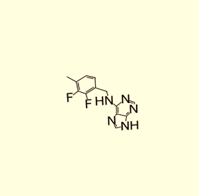 Cc1ccc(CNc2ncnc3[nH]cnc23)c(F)c1F